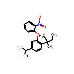 CCC(C)(C)c1ccc(C(C)C)cc1Oc1ccccc1[N+](=O)[O-]